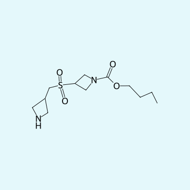 CCCCOC(=O)N1CC(S(=O)(=O)CC2CNC2)C1